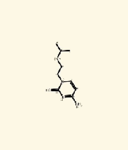 CC(C)NCCn1ccc(N)nc1=O